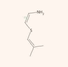 CC(C)=CS/C=C\N